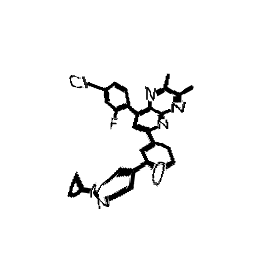 Cc1nc2nc(C3=CC(c4cnn(C5CC5)c4)OCC3)cc(-c3ccc(Cl)cc3F)c2nc1C